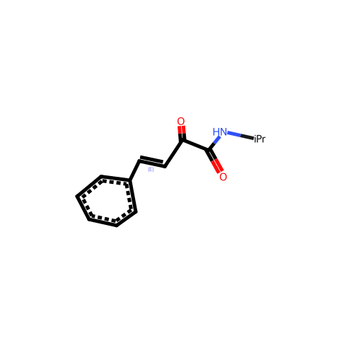 CC(C)NC(=O)C(=O)/C=C/c1ccccc1